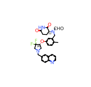 Cc1ccc(O[C@@H]2CN(Cc3ccc4ncccc4c3)CC2(F)F)cc1CN(C=O)[C@H]1CCC(=O)NC1=O